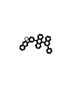 c1ccc(-c2cc(-c3c4ccccc4c(-c4ccc5oc6cc7ccccc7cc6c5c4)c4ccccc34)c3ccccc3c2)cc1